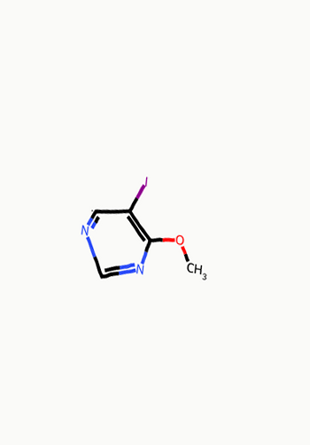 COc1ncn[c]c1I